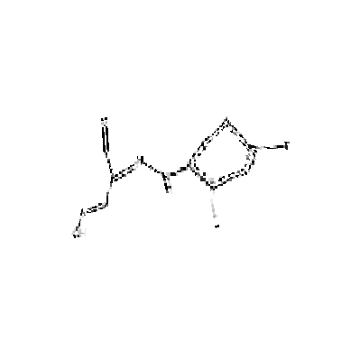 O=CC(/C=N/O)=N/Nc1ccc(F)cc1Cl